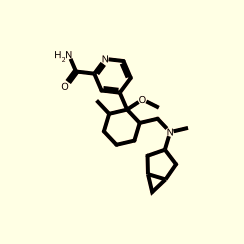 COC1(c2ccnc(C(N)=O)c2)C(C)CCCC1CN(C)C1CC2CC2C1